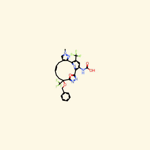 Cn1cc2c(n1)-c1nc(c(NC(=O)O)cc1C(F)(F)F)-c1nnc(o1)C(OCc1ccccc1)(C(F)(F)F)CCC=CC2